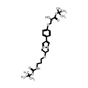 CC(C)(C)OC(=O)NCCCOC1Cn2cc(-c3ccc(OC[C@@H](O)C(=O)OC(C)(C)C)cc3)c[n+]2C1